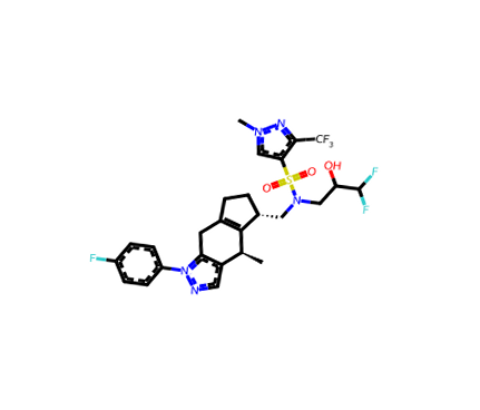 C[C@@H]1C2=C(CC[C@@H]2CN(CC(O)C(F)F)S(=O)(=O)c2cn(C)nc2C(F)(F)F)Cc2c1cnn2-c1ccc(F)cc1